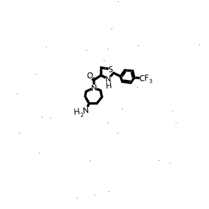 NC1CCCN(C(=O)C2CSC(c3ccc(C(F)(F)F)cc3)N2)CC1